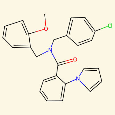 COc1ccccc1CN(Cc1ccc(Cl)cc1)C(=O)c1ccccc1-n1cccc1